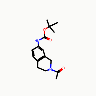 CC(=O)N1CCc2ccc(NC(=O)OC(C)(C)C)cc2C1